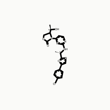 C[C@H](Nc1nccc(N2C(=O)OCC2[C@@H](C)O)n1)c1ncc(-c2ccc(Cl)cc2)o1